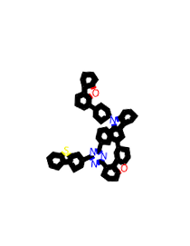 c1ccc(-c2nc(-c3ccc4c(c3)sc3ccccc34)nc(-c3cccc4oc5ccc(-c6ccc7c(c6)c6ccccc6n7-c6ccc(-c7cccc8c7oc7ccccc78)cc6)cc5c34)n2)cc1